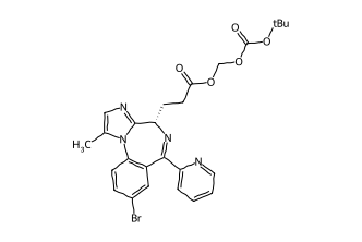 Cc1cnc2n1-c1ccc(Br)cc1C(c1ccccn1)=N[C@H]2CCC(=O)OCOC(=O)OC(C)(C)C